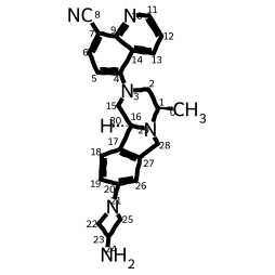 C[C@@H]1CN(c2ccc(C#N)c3ncccc23)C[C@@H]2c3ccc(N4CC(N)C4)cc3CN12